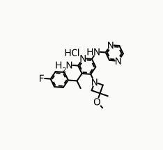 COC1(C)CN(c2cc(Nc3cnccn3)nc(N)c2C(C)c2ccc(F)cc2)C1.Cl